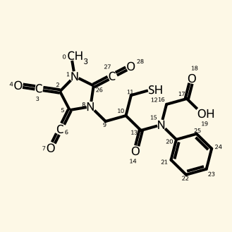 CN1C(=C=O)C(=C=O)N(CC(CS)C(=O)N(CC(=O)O)c2ccccc2)C1=C=O